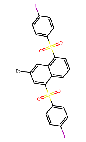 CCc1cc(S(=O)(=O)c2ccc(I)cc2)c2cccc(S(=O)(=O)c3ccc(I)cc3)c2c1